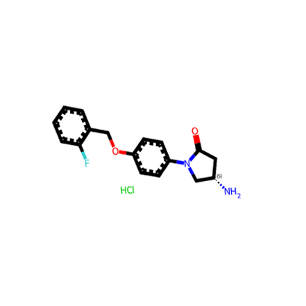 Cl.N[C@H]1CC(=O)N(c2ccc(OCc3ccccc3F)cc2)C1